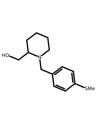 CSc1ccc(CN2CCCCC2CO)cc1